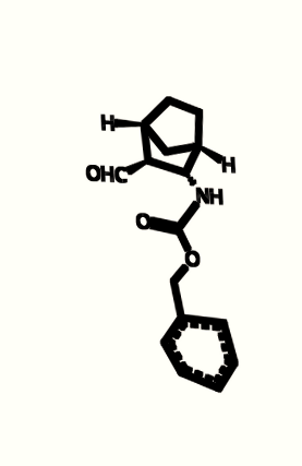 O=C[C@H]1[C@@H]2CC[C@@H](C2)[C@@H]1NC(=O)OCc1ccccc1